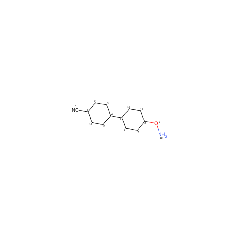 N#CC1CCC(C2CCC(ON)CC2)CC1